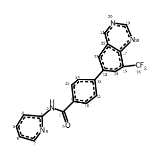 O=C(Nc1ccccn1)c1ccc(-c2cc(C(F)(F)F)c3ncncc3c2)cc1